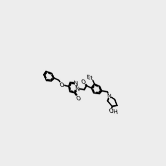 CCc1cc(CN2CCC(O)C2)ccc1C(=O)Cn1ncc(OCc2ccccc2)cc1=O